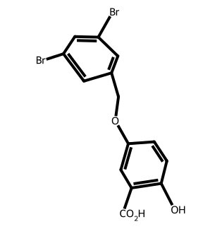 O=C(O)c1cc(OCc2cc(Br)cc(Br)c2)ccc1O